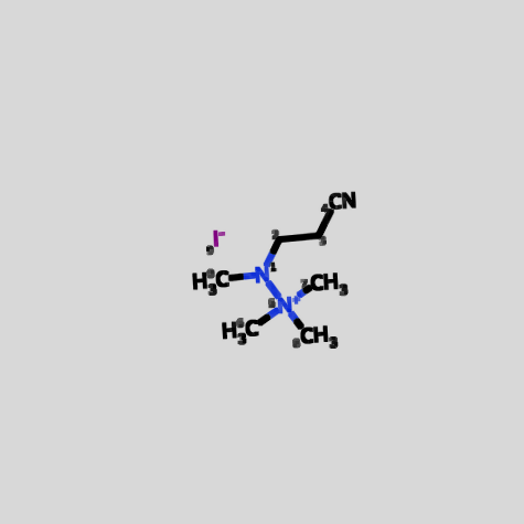 CN(CCC#N)[N+](C)(C)C.[I-]